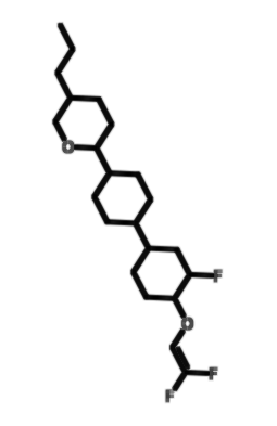 CCCC1CCC(C2CCC(C3CCC(OC=C(F)F)C(F)C3)CC2)OC1